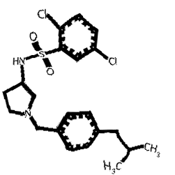 CC(C)Cc1ccc(CN2CCC(NS(=O)(=O)c3cc(Cl)ccc3Cl)C2)cc1